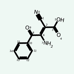 N#C/C(C(=O)O)=C(/N)C(=O)c1ccccc1